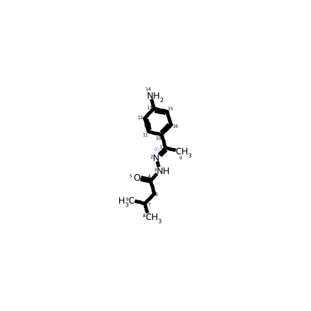 C/C(=N\NC(=O)CC(C)C)c1ccc(N)cc1